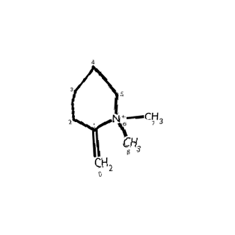 C=C1CCCC[N+]1(C)C